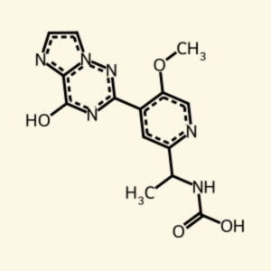 COc1cnc(C(C)NC(=O)O)cc1-c1nc(O)c2nccn2n1